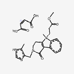 COC(=O)CC[N+]1(C)C2=C(C(=O)N(Cc3nc[nH]c3C)CC2)c2ccccc21.O=C(O)/C=C\C(=O)O